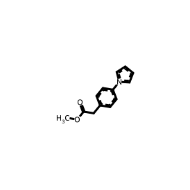 COC(=O)Cc1ccc(-n2cccc2)cc1